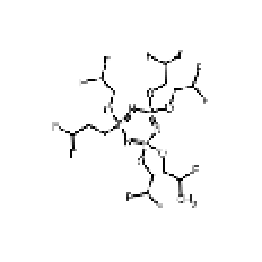 CC(F)COP1(OCC(F)F)=NP(CCC(F)F)(OCC(F)F)=NP(OCC(F)F)(OCC(F)F)=N1